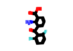 Nc1c(C(=O)O)cccc1C(=O)c1c(F)cccc1F